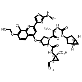 C=C[C@@H]1C[C@]1(NC(=O)[C@@H]1C[C@@H](Oc2cc(-c3csc(NC(C)C)n3)nc3c(Cl)c(OCC#N)ccc23)CN1C(=O)[C@@H](NC(=O)OC1C[C@@H]2C[C@@H]2C1)C(C)(C)C)C(=O)O